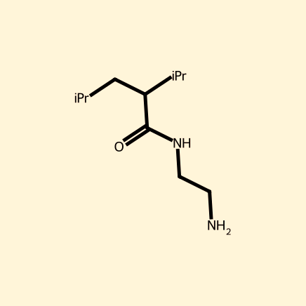 CC(C)CC(C(=O)NCCN)C(C)C